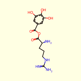 N=C(N)NCCC[C@H](N)C(=O)OC(=O)c1cc(O)c(O)c(O)c1